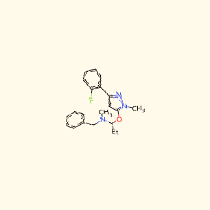 CCC(Oc1cc(-c2ccccc2F)nn1C)N(C)Cc1ccccc1